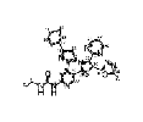 CCNC(=O)Nc1cc(-c2nc(-c3ccccc3)cs2)c(-c2nc(-c3ncccn3)c(-c3nnc(C)o3)s2)cn1